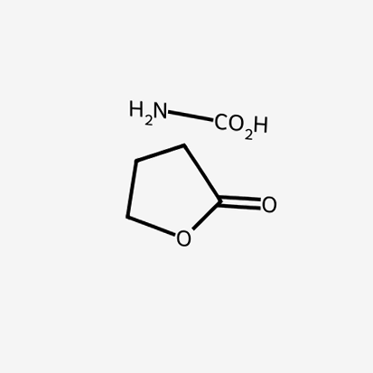 NC(=O)O.O=C1CCCO1